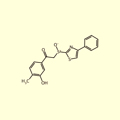 Cc1ccc(C(=O)C[S+]([O-])c2nc(-c3ccccc3)cs2)cc1O